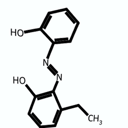 CCc1cccc(O)c1N=Nc1ccccc1O